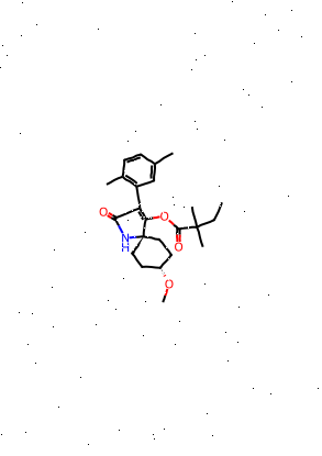 CCC(C)(C)C(=O)OC1=C(c2cc(C)ccc2C)C(=O)N[C@]12CC[C@@H](OC)CC2